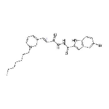 CCCCCCCN1C=CC=C(/C=C/C(=O)NNC(=O)c2cc3cc(Br)ccc3[nH]2)C1